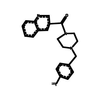 O=C(c1cnc2ccccc2c1)N1CCN(Cc2ccc([123I])cc2)CC1